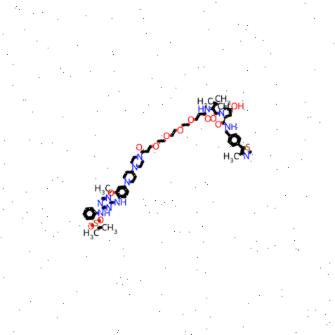 COc1cc(N2CCC(N3CCN(C(=O)CCOCCOCCOCCOCCC(=O)NC(C(=O)N4C[C@H](O)C[C@H]4C(=O)NCc4ccc(-c5scnc5C)cc4)C(C)(C)C)CC3)CC2)ccc1Nc1ncnc(Nc2ccccc2S(=O)(=O)C(C)C)n1